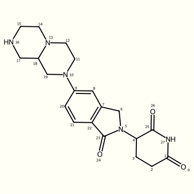 O=C1CCC(N2Cc3cc(N4CCN5CCNCC5C4)ccc3C2=O)C(=O)N1